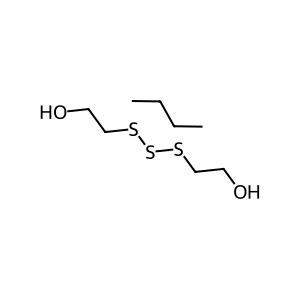 CCCC.OCCSSSCCO